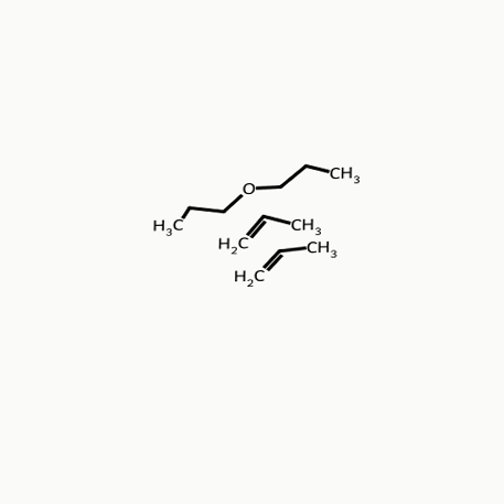 C=CC.C=CC.CCCOCCC